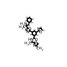 Cc1csc([C@@H](C)NC(=O)c2cc(-c3ncco3)cc(-c3nnc([C@@](C)(N)Cc4ccccc4)o3)c2)n1